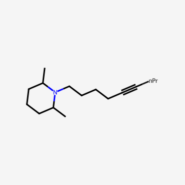 CCCC#CCCCCN1C(C)CCCC1C